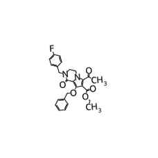 CCOC(=O)c1c(OCc2ccccc2)c2n(c1C(C)=O)CCN(Cc1ccc(F)cc1)C2=O